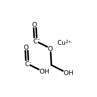 O=[C-]O.O=[C-]OCO.[Cu+2]